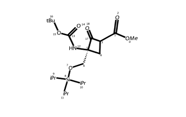 COC(=O)C1C[C@@](CO[Si](C(C)C)(C(C)C)C(C)C)(NC(=O)OC(C)(C)C)C1=O